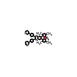 Cc1cc(C)c(-c2cc3nc(-c4ccc(-c5cccnc5)cc4)c(-c4ccc(-c5cccnc5)cc4)nc3cc2-c2c(C)cc(C)cc2C)c(C)c1